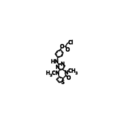 CN1C(=O)c2sccc2N(C)c2nc(Nc3ccc(OC(=O)CCl)cc3)ncc21